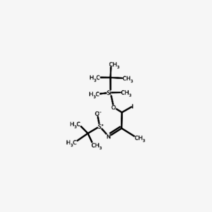 CC(=N[S+]([O-])C(C)(C)C)C(I)O[Si](C)(C)C(C)(C)C